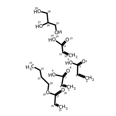 C=CC(=O)O.C=CC(=O)O.C=CC(=O)O.C=CC(=O)OCCCC.OCC(O)CO